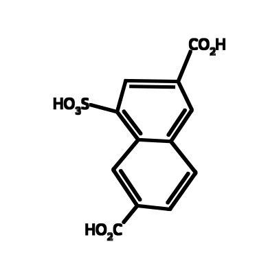 O=C(O)c1cc(S(=O)(=O)O)c2cc(C(=O)O)ccc2c1